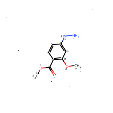 COC(=O)c1ccc(NN)cc1OC